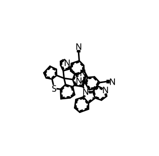 N#Cc1ccc2c(c1)c1cc(C#N)ccc1n2-c1cccc2c1C1(c3ccccc3S2)c2cccnc2-c2ncc(-n3c4ccccc4c4ccncc43)cc21